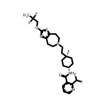 CC(F)(F)COc1nc2c(s1)CCN(CC[C@]1(F)CC[C@@H](NC(=O)c3cccnc3C(F)F)CC1)CC2